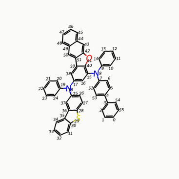 c1ccc(-c2ccc(N(c3ccccc3)c3cc(N(c4ccccc4)c4ccc5sc6ccccc6c5c4)cc4c3oc3cc5ccccc5cc34)cc2)cc1